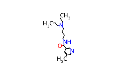 CCCN(CCC)CCCCNC(=O)c1cncc(C)c1